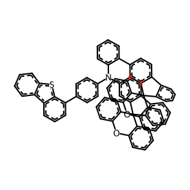 c1ccc2c(c1)Oc1ccccc1C21c2ccccc2-c2ccc(-c3ccccc3N(c3ccc(-c4cccc5c4sc4ccccc45)cc3)c3ccc4c(c3)C3(c5ccccc5Oc5ccccc53)c3ccccc3-4)cc21